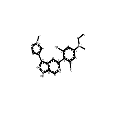 CCN(C)c1cc(F)c(-c2cc3c(-c4cnn(C)c4)n[nH]c3cn2)c(F)c1